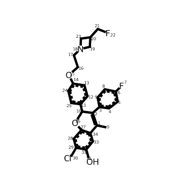 CC1=C(c2ccc(F)cc2)C(c2ccc(OCCN3CC(CF)C3)cc2)Oc2cc(Cl)c(O)cc21